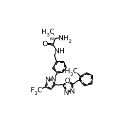 Cc1ccccc1-c1nnc(-c2cc(C(F)(F)F)nn2-c2cccc(CNC(=O)[C@H](C)N)c2)o1